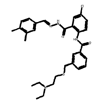 CCN(CC)CCSCc1cccc(C(=O)Nc2ccc(Cl)cc2C(=O)NN=Cc2ccc(C)c(C)c2)c1